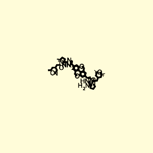 CC1CC(CC(=O)N2[C@@H](C)CC[C@@]2(N)c2ncc(-c3cc4c5c(c3)OCc3cc(-c6cnc([C@]7(N)CCCN7C(=O)CC7C[C@@H](C)O[C@@H](C)C7)[nH]6)cc(c3-5)OC4)[nH]2)C[C@@H](C)O1